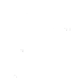 C1CCC(C2CC(N3CCCNCC3)CCCO2)SNC1